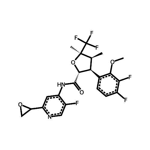 COc1c([C@H]2[C@H](C(=O)Nc3cc(C4CO4)ncc3F)O[C@@](C)(C(F)(F)F)[C@H]2C)ccc(F)c1F